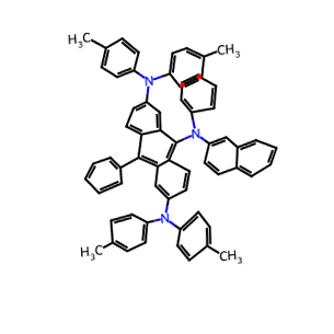 Cc1ccc(N(c2ccc(C)cc2)c2ccc3c(N(c4ccccc4)c4ccc5ccccc5c4)c4cc(N(c5ccc(C)cc5)c5ccc(C)cc5)ccc4c(-c4ccccc4)c3c2)cc1